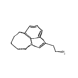 NCCc1cn2c3c(cccc13)CCCCC2